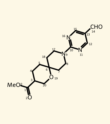 COC(=O)C1CCC2(CCN(c3ncc(C=O)cn3)CC2)OC1